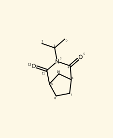 CC(C)N1C(=O)C2CCC(C2)C1=O